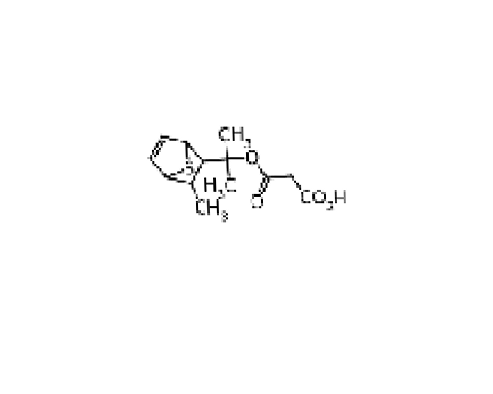 CC1C2C=CC(S2)C1C(C)(C)OC(=O)CC(=O)O